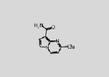 CC(C)(C)c1ccn2ncc(C(N)=O)c2n1